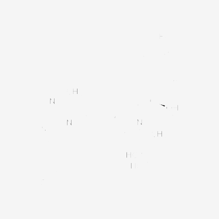 CN=c1sc2cc(Cl)ccc2n1CCCCN(C)C[C@H](O)c1ccc(F)cc1.Cl.Cl